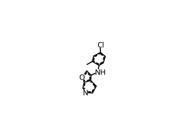 Cc1cc(Cl)ccc1Nc1coc2cnccc12